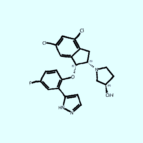 O[C@@H]1CCN([C@H]2Cc3c(Cl)cc(Cl)cc3[C@H]2Oc2ccc(F)cc2-c2ccn[nH]2)C1